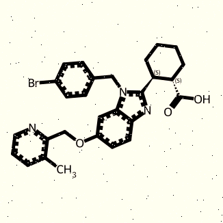 Cc1cccnc1COc1ccc2nc([C@H]3CCCC[C@@H]3C(=O)O)n(Cc3ccc(Br)cc3)c2c1